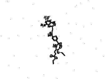 CCOC(=O)CCC(NC(=O)c1ccc(NCc2nnc3nc(N)nc(N)c3n2)cc1)C(=O)OCC